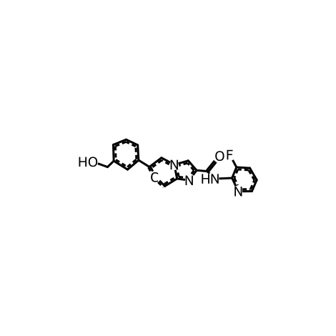 O=C(Nc1ncccc1F)c1cn2cc(-c3cccc(CO)c3)ccc2n1